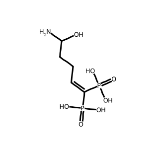 NC(O)CCC=C(P(=O)(O)O)P(=O)(O)O